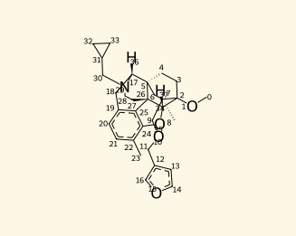 COC12CC[C@@]3(C[C@]1(C)COCc1ccoc1)[C@H]1Cc4ccc(C)c5c4[C@@]3(CCN1CC1CC1)[C@H]2O5